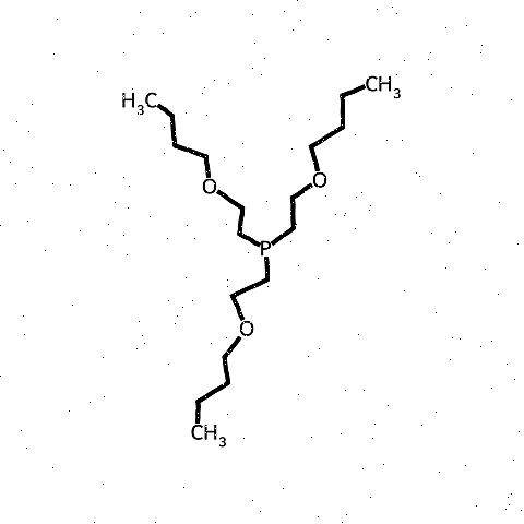 CCCCOCCP(CCOCCCC)CCOCCCC